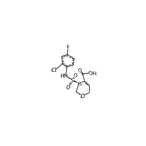 O=C(O)C1=CCOC[C@H]1S(=O)(=O)Nc1ccc(F)cc1Cl